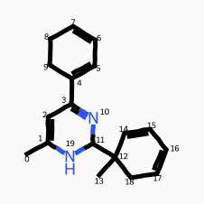 CC1=CC(C2=CC=CCC2)=NC(C2(C)C=CC=CC2)N1